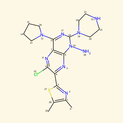 Cc1nc(-c2nc3c(nc2Cl)C(N2CCCC2)=NC(N2CCNCC2)N3N)sc1C